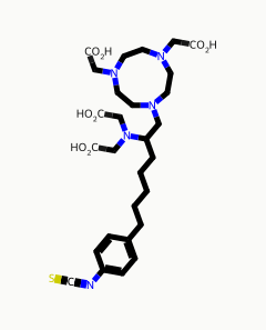 O=C(O)CN1CCN(CC(=O)O)CCN(CC(CCCCCc2ccc(N=C=S)cc2)N(CC(=O)O)CC(=O)O)CC1